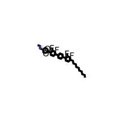 C/C=C/C1COC(c2ccc(-c3ccc(-c4ccc(CCCCCCCCCC)c(F)c4F)cc3)c(F)c2F)OC1